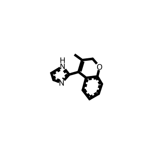 CC1=C(c2ncc[nH]2)c2ccccc2OC1